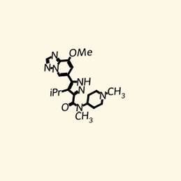 COc1cc(-c2[nH]nc(C(=O)N(C)C3CCN(C)CC3)c2C(C)C)cn2ncnc12